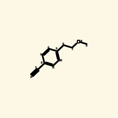 C#Cc1ccc(CCOC)cc1